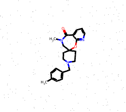 Cc1ccc(CN2CCC3(CC2)CN(C)C(=O)c2cccnc2O3)cc1